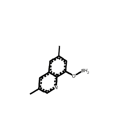 BOc1cc(C)cc2cc(C)cnc12